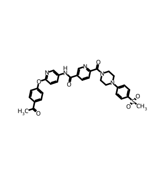 CC(=O)c1ccc(Oc2ccc(NC(=O)c3ccc(C(=O)N4CCN(c5ccc(S(C)(=O)=O)cc5)CC4)nc3)cn2)cc1